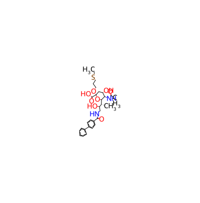 CCSCCCO[C@]1(C(=O)O)C[C@H](O)C(NC(C)=O)C([C@H](C)[C@H](O)CNC(=O)c2ccc(-c3ccccc3)cc2)O1